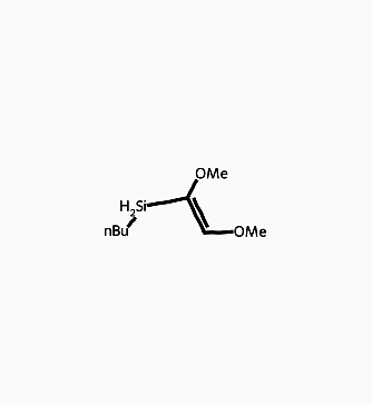 CCCC[SiH2]C(=COC)OC